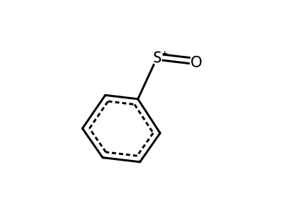 O=[S+]c1ccccc1